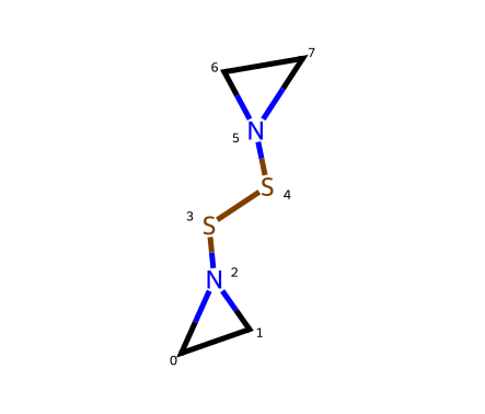 C1CN1SSN1CC1